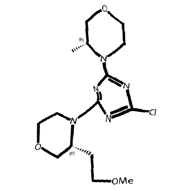 COCC[C@@H]1COCCN1c1nc(Cl)nc(N2CCOC[C@H]2C)n1